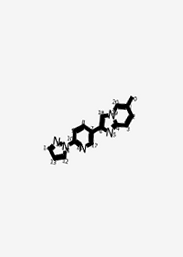 Cc1ccc2nc(-c3ccc(-n4cccn4)nc3)cn2c1